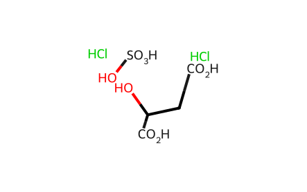 Cl.Cl.O=C(O)CC(O)C(=O)O.O=S(=O)(O)O